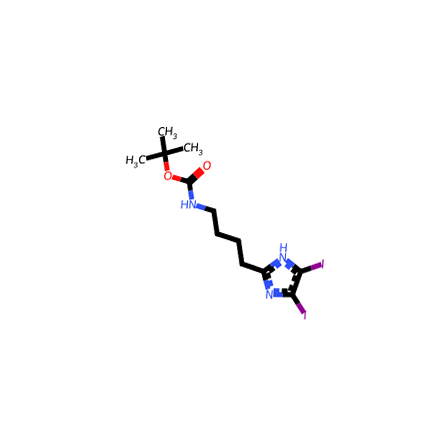 CC(C)(C)OC(=O)NCCCCc1nc(I)c(I)[nH]1